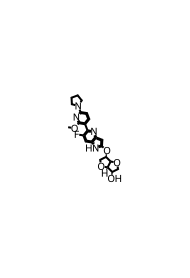 COc1nc(N2CCCC2)ccc1-c1nc2cc(O[C@@H]3CO[C@H]4C3OC[C@H]4O)[nH]c2cc1F